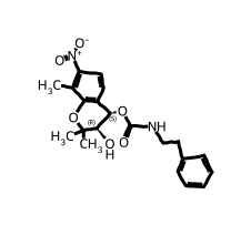 Cc1c([N+](=O)[O-])ccc2c1OC(C)(C)[C@H](O)[C@H]2OC(=O)NCCc1ccccc1